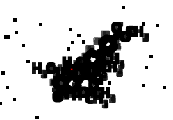 CC[C@@H]1CC[C@]2(N=O)C[C@@H]3OC(C)(C)O[C@H]4C[C@H]5C(C)(C)C(c6ccc(C(=O)OC)cc6)=CC[C@]5(C)[C@H]5CC[C@H]([C@@H]12)[C@]3(C)[C@]45C